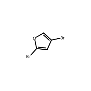 Brc1coc(Br)c1